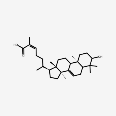 C/C(=C/CCC(C)[C@@H]1CC[C@]2(C)C3=CCC4C(C)(C)C(O)CC[C@]4(C)C3CC[C@@]12C)C(=O)O